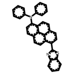 c1ccc(N(c2ccccc2)c2ccc3ccc4c(-c5nc6ccccc6s5)ccc5ccc2c3c54)cc1